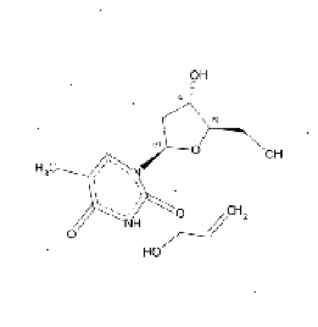 C=CCO.Cc1cn([C@H]2C[C@H](O)[C@@H](CO)O2)c(=O)[nH]c1=O